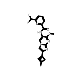 COc1nc2nc(C34CC(F)(C3)C4)cn2cc1NC(=O)c1cccc(C(F)F)n1